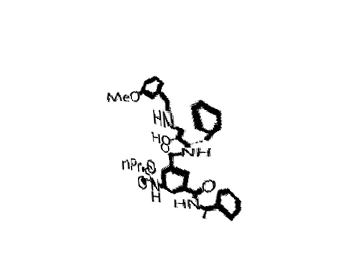 CCCS(=O)(=O)Nc1cc(C(=O)N[C@@H](Cc2ccccc2)[C@H](O)CNCc2cccc(OC)c2)cc(C(=O)N[C@H](C)c2ccccc2)c1